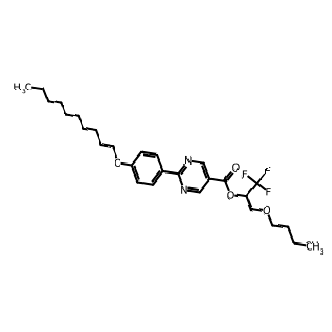 CCCCCCCCCCOc1ccc(-c2ncc(C(=O)OC(COCCCC)C(F)(F)F)cn2)cc1